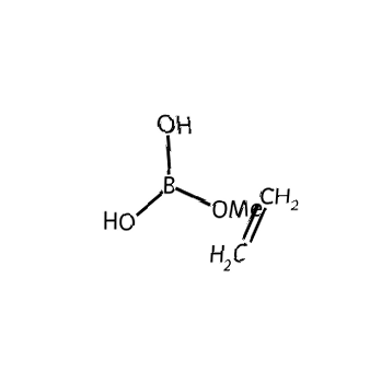 C=C.COB(O)O